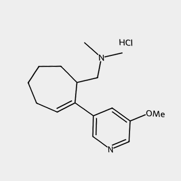 COc1cncc(C2=CCCCCC2CN(C)C)c1.Cl